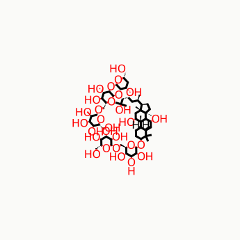 C[C@H](CC[C@@H](O[C@@H]1O[C@H](CO[C@@H]2O[C@H](CO)[C@@H](O)[C@H](O)[C@H]2O)[C@@H](O)[C@H](O)[C@H]1O[C@H]1C[C@@H](O)C[C@@H](CO)O1)C(C)(C)O)[C@H]1CC[C@@]2(C)[C@@H]3C(O)C=C4[C@@H](CC[C@H](O[C@@H]5O[C@H](CO[C@@H]6O[C@H](CO)[C@@H](O)[C@H](O)[C@H]6O)[C@@H](O)[C@H](O)[C@H]5O)C4(C)C)[C@]3(C)[C@H](O)C[C@]12C